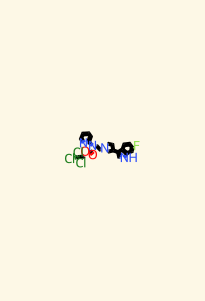 O=C(OCC(Cl)(Cl)Cl)N(CCN1CCC(c2c[nH]c3cc(F)ccc23)C1)c1ccccn1